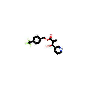 C=C(C(=O)OCc1ccc(C(F)(F)F)cc1)C(O)c1cccnc1